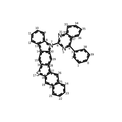 c1ccc(-c2nc(-n3c4ccccc4c4cc5sc6cc7ccccc7cc6c5cc43)nc3ccccc23)cc1